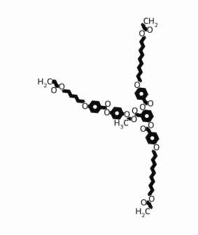 C=CC(=O)OCCCCCCCCCCCOc1ccc(C(=O)Oc2ccc(OC(=O)c3ccc(OCCCCCCCCCCCOC(=O)C=C)cc3)c(C(=O)OC(C)Oc3ccc(OC(=O)c4ccc(OCCCCCCOC(=O)C=C)cc4)cc3)c2)cc1